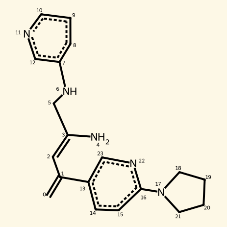 C=C(/C=C(\N)CNc1cccnc1)c1ccc(N2CCCC2)nc1